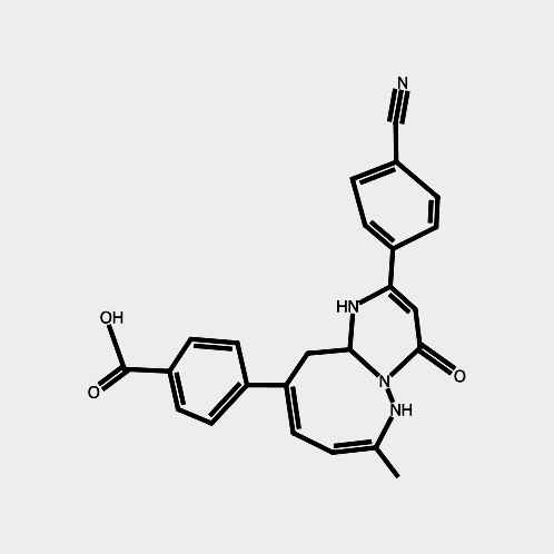 C/C1=C/C=C(/c2ccc(C(=O)O)cc2)CC2NC(c3ccc(C#N)cc3)=CC(=O)N2N1